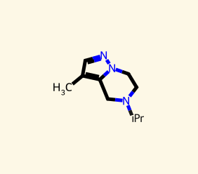 Cc1cnn2c1CN(C(C)C)CC2